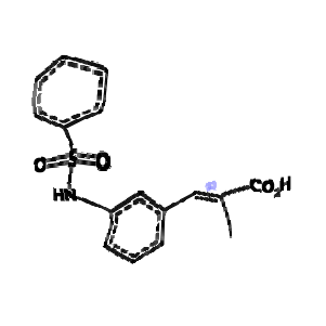 C/C(=C\c1cccc(NS(=O)(=O)c2ccccc2)c1)C(=O)O